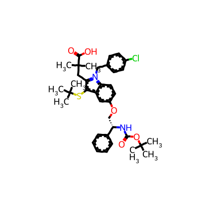 CC(C)(C)OC(=O)N[C@@H](COc1ccc2c(c1)c(SC(C)(C)C)c(CC(C)(C)C(=O)O)n2Cc1ccc(Cl)cc1)c1ccccc1